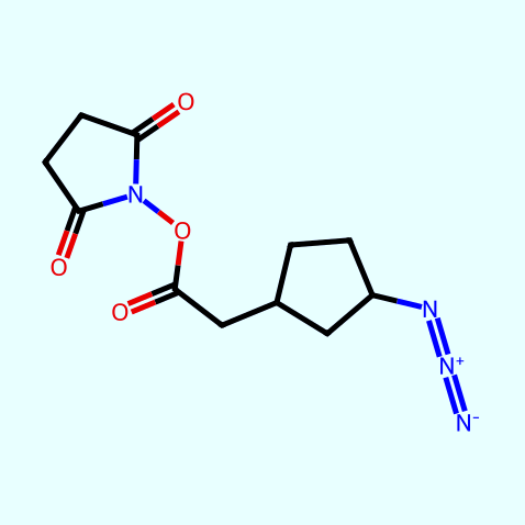 [N-]=[N+]=NC1CCC(CC(=O)ON2C(=O)CCC2=O)C1